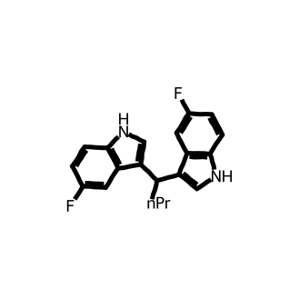 CCCC(c1c[nH]c2ccc(F)cc12)c1c[nH]c2ccc(F)cc12